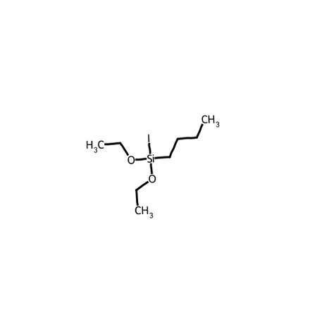 CCCC[Si](I)(OCC)OCC